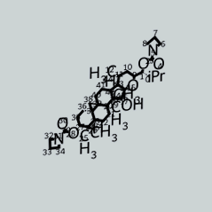 CC(C)[C@@H](OC(=O)N1CCC1)C1C[C@@H](C)[C@H]2C(O1)[C@H](O)[C@@]1(C)C3CC[C@H]4C(C)(C)C(OC(=O)N5CCC5)CC[C@@]45C[C@@]35CC[C@]21C